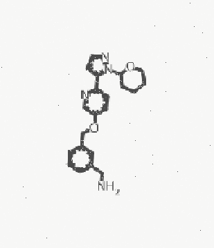 NCc1cccc(COc2ccc(-c3ccnn3C3CCCCO3)nc2)c1